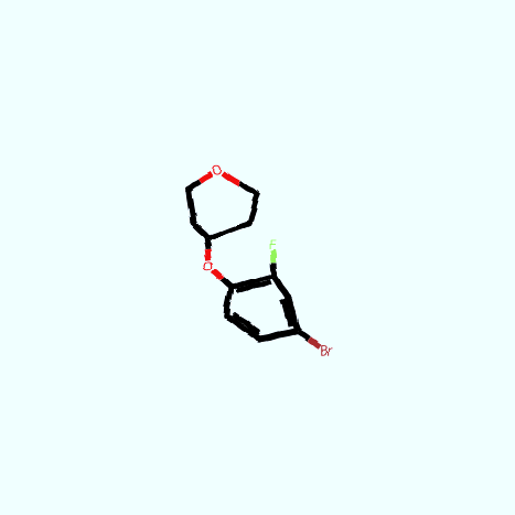 Fc1cc(Br)ccc1OC1CCOCC1